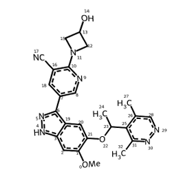 COc1cc2[nH]nc(-c3cnc(N4CC(O)C4)c(C#N)c3)c2cc1OC(C)c1c(C)cnnc1C